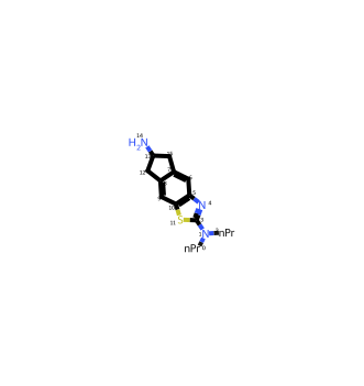 CCCN(CCC)c1nc2cc3c(cc2s1)CC(N)C3